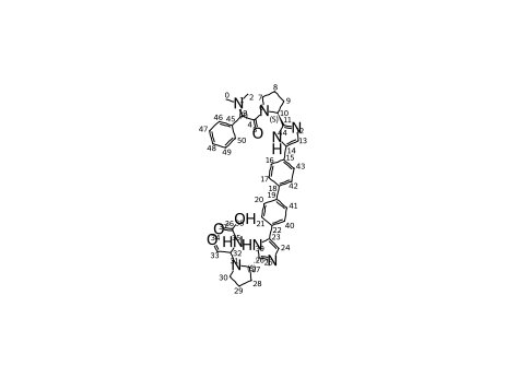 CN(C)[C@@H](C(=O)N1CCC[C@H]1c1ncc(-c2ccc(-c3ccc(-c4cnc([C@@H]5CCCN5C(C=O)NC(=O)O)[nH]4)cc3)cc2)[nH]1)c1ccccc1